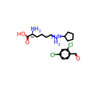 NC1CCCC1.NCCCC[C@H](N)C(=O)O.O=Cc1ccc(Cl)cc1Cl